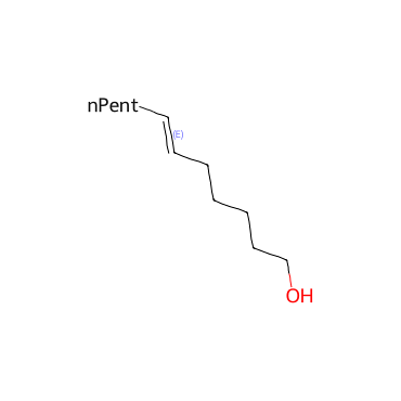 CCCCC/C=C/CCCCCO